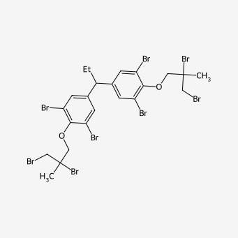 CCC(c1cc(Br)c(OCC(C)(Br)CBr)c(Br)c1)c1cc(Br)c(OCC(C)(Br)CBr)c(Br)c1